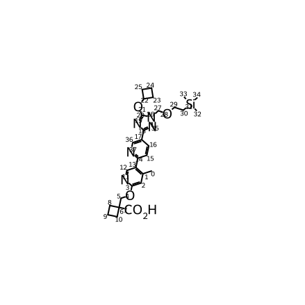 Cc1cc(OCC2(C(=O)O)CCC2)ncc1-c1ccc(-c2nc(OC3CCC3)n(COCC[Si](C)(C)C)n2)cn1